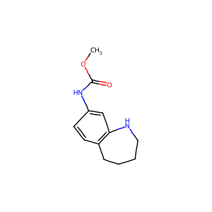 COC(=O)Nc1ccc2c(c1)NCCCC2